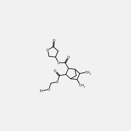 CCOCOC(=O)C1C2CC(C(C)C2C)C1C(=O)OC1COC(=O)C1